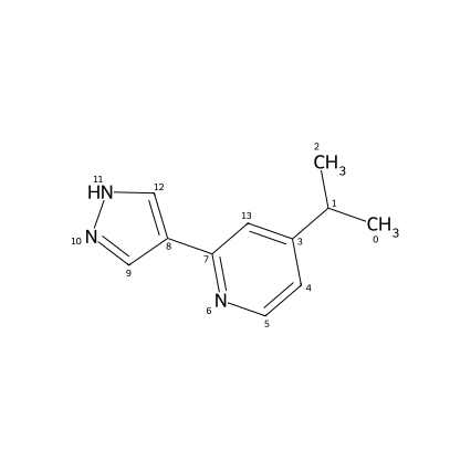 CC(C)c1ccnc(-c2cn[nH]c2)c1